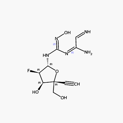 C#C[C@]1(CO)O[C@@H](NC(=N/O)/N=C(/N)C=N)[C@H](F)[C@@H]1O